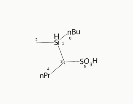 CCCC[SiH](C)[C](CCC)S(=O)(=O)O